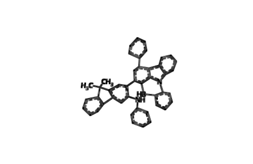 CC1(C)c2ccccc2-c2cc(Nc3ccccc3)c(-c3cc(-c4ccccc4)c4c5ccccc5n5c4c3Bc3ccccc3-5)cc21